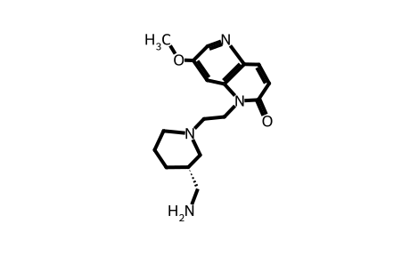 COc1cnc2ccc(=O)n(CCN3CCC[C@@H](CN)C3)c2c1